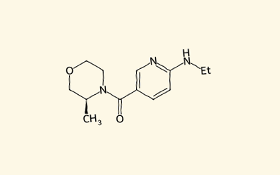 CCNc1ccc(C(=O)N2CCOC[C@@H]2C)cn1